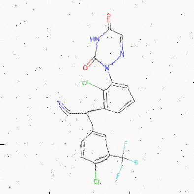 N#CC(c1ccc(Cl)c(C(F)(F)F)c1)c1cccc(-n2ncc(=O)[nH]c2=O)c1Cl